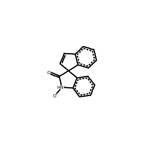 O=C1[NH+]([O-])c2ccccc2C12C=Cc1ccccc12